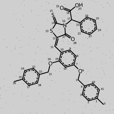 Cc1ccc(COc2ccc(C=C3SC(=S)N(C(C(=O)O)c4ccccc4)C3=O)c(OCc3ccc(C)cc3)c2)cc1